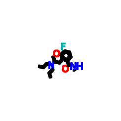 CCCN(CCC)C1COc2c(F)ccc(C(=O)NC)c2C1